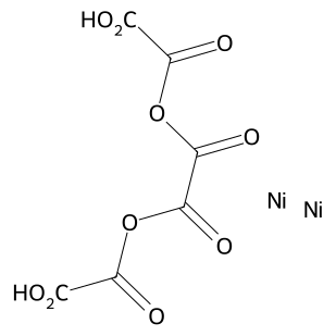 O=C(O)C(=O)OC(=O)C(=O)OC(=O)C(=O)O.[Ni].[Ni]